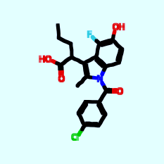 CCCC(C(=O)O)c1c(C)n(C(=O)c2ccc(Cl)cc2)c2ccc(O)c(F)c12